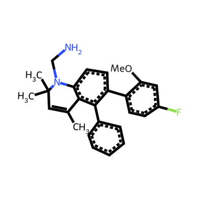 COc1cc(F)ccc1-c1ccc2c(c1-c1ccccc1)C(C)=CC(C)(C)N2CN